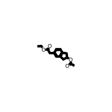 CCOC(=O)Cc1ccc2c(c1)CC(OC(C)=O)C2